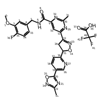 COc1cc(CNC(=O)c2cc(C3=NOC(c4ccc(-c5nc(C)no5)cn4)C3)nc(C)n2)ccc1F.O=C(O)C(F)(F)F